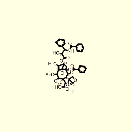 CC(=O)OC1C(=O)C(C)(C[C@H](C)O)[C@@H](C2(OC(C)=O)COC2)[C@H](OC(=O)c2ccccc2)[C@]2(O)C[C@@]3(OC(=O)[C@H](O)C(NC(=O)c4ccccc4)c4ccccc4)C(C)=C1[C@]23C